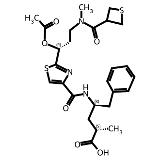 CC(=O)O[C@H](CCN(C)C(=O)C1CSC1)c1nc(C(=O)N[C@@H](Cc2ccccc2)C[C@H](C)C(=O)O)cs1